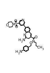 CCCN(OCc1ccc(N)cc1)C(=O)C1=Cc2ccc(-c3cncc(S(=O)(=O)N4CCOCC4)c3)cc2N=C(N)C1